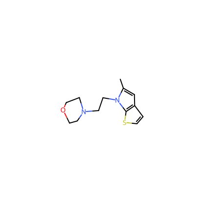 Cc1cc2ccsc2n1CCN1CCOCC1